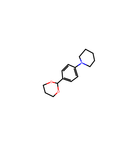 c1cc(N2CCCCC2)ccc1[C]1OCCCO1